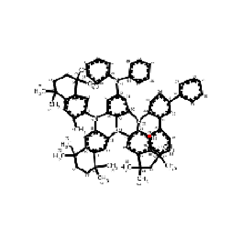 Cc1cc2c(cc1N1c3cc4c(cc3B3c5cc6c(cc5N(c5ccc(-c7ccccc7)cc5-c5ccccc5)c5cc(N(c7ccccc7)c7ccccc7)cc1c53)C(C)(C)CC6(C)C)C(C)(C)CCC4(C)C)C(C)(C)CCC2(C)C